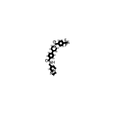 O=C(NCc1ccn2ccnc2c1)c1ccc(C2CCN(C(=O)c3ccc(C(F)(F)F)cc3)CC2)cc1